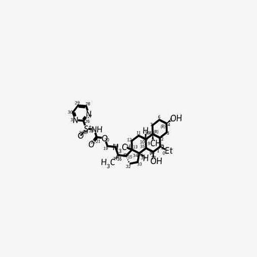 CC[C@@H]1C2C[C@H](O)CC[C@@]2(C)[C@H]2CCC3(C)[C@@H]([C@H](C)CCOC(=O)N[S@@+]([O-])c4ncccn4)CC[C@H]3C2[C@@H]1O